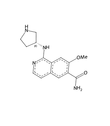 COc1cc2c(N[C@@H]3CCNC3)nccc2cc1C(N)=O